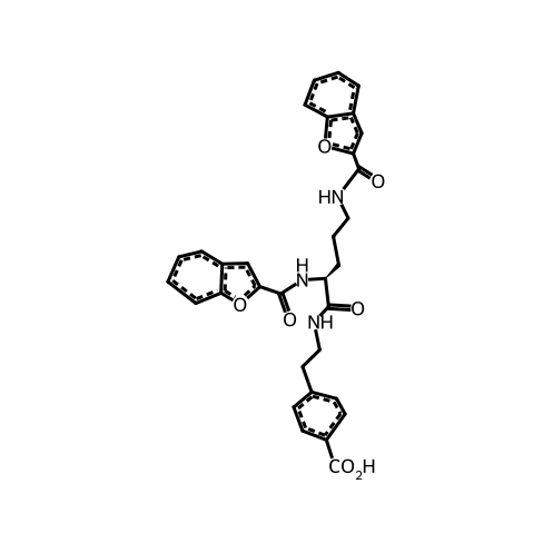 O=C(O)c1ccc(CCNC(=O)[C@H](CCCNC(=O)c2cc3ccccc3o2)NC(=O)c2cc3ccccc3o2)cc1